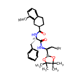 COc1cccc2c1CC(C(=O)N[C@@H](Cc1ccccc1)C(=O)NC(CC(C)C)B1OC(C)(C)C(C)(C)O1)CC2